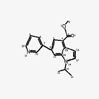 COC(=O)c1cc(-c2cccnc2)cc2c1ccn2C(C)C